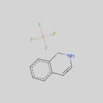 C1=Cc2ccccc2CN1.F[B-](F)(F)F